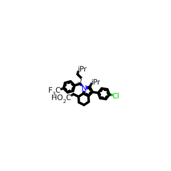 CC(C)CC[C@@H](c1ccc(C(F)(F)F)cc1)n1c(C(C)C)c(-c2ccc(Cl)cc2)c2c1C(CC(=O)O)CCC2